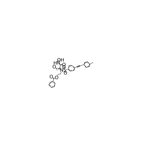 Cc1ccc(C#Cc2ccc(S(=O)(=O)N(CCOC(=O)c3ccccc3)[C@@H]([C]=O)C(=O)NO)cc2)cc1